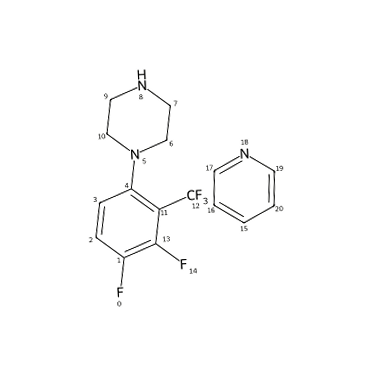 Fc1ccc(N2CCNCC2)c(C(F)(F)F)c1F.c1ccncc1